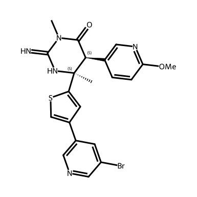 COc1ccc([C@@H]2C(=O)N(C)C(=N)N[C@]2(C)c2cc(-c3cncc(Br)c3)cs2)cn1